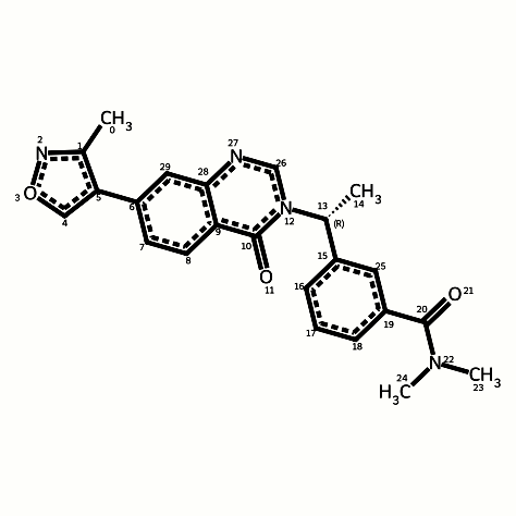 Cc1nocc1-c1ccc2c(=O)n([C@H](C)c3cccc(C(=O)N(C)C)c3)cnc2c1